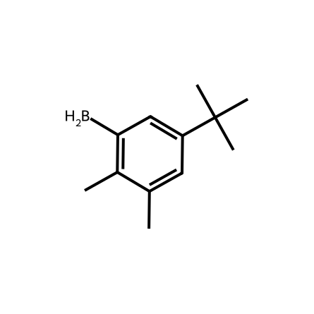 Bc1cc(C(C)(C)C)cc(C)c1C